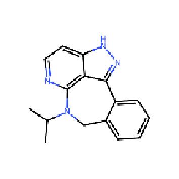 CC(C)N1Cc2ccccc2-c2n[nH]c3ccnc1c23